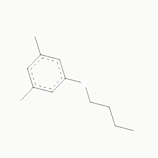 CCCCOc1cc(C)cc(C)c1